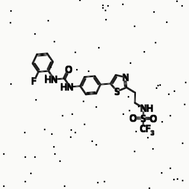 O=C(Nc1ccc(-c2cnc(CCNS(=O)(=O)C(F)(F)F)s2)cc1)Nc1ccccc1F